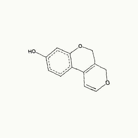 Oc1ccc2c(c1)OCC1=C2C=COC1